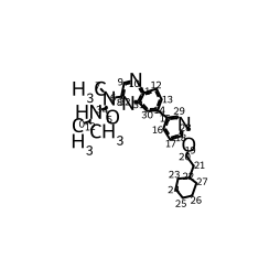 CC(C)NC(=O)N(C)c1cnc2ccc(-c3ccc(OCCC4CCCCC4)nc3)cc2n1